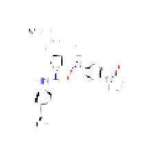 C#Cc1ccc(NC(=O)N2C[C@H](OC(C)OC)C[C@@H]2C(=O)Nc2ccc(N3CCOCC3=O)cc2)cc1